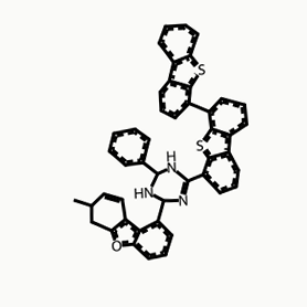 CC1C=Cc2c(oc3cccc(C4N=C(c5cccc6c5sc5c(-c7cccc8c7sc7ccccc78)cccc56)NC(c5ccccc5)N4)c23)C1